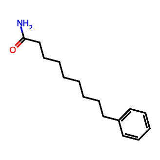 NC(=O)CCCCCCCCc1ccccc1